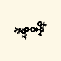 C[S+]([O-])NC(=O)c1cc(OC(F)F)c2cc(N3CCC4(C=C(c5c(-c6cccnc6C(F)(F)F)noc5C5CC5)C4)CC3)ccc2n1